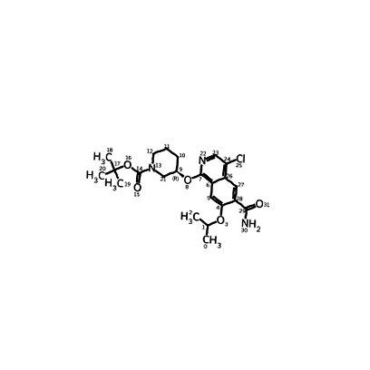 CC(C)Oc1cc2c(O[C@@H]3CCCN(C(=O)OC(C)(C)C)C3)ncc(Cl)c2cc1C(N)=O